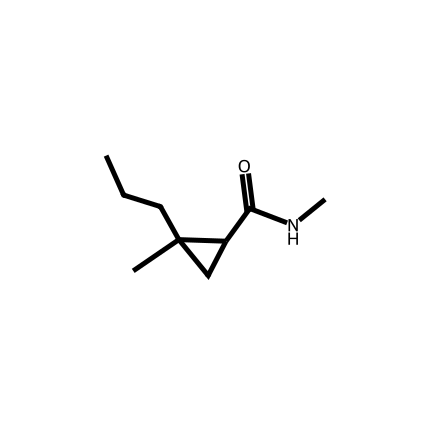 CCCC1(C)CC1C(=O)NC